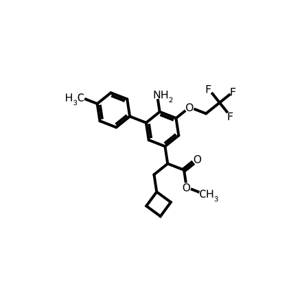 COC(=O)C(CC1CCC1)c1cc(OCC(F)(F)F)c(N)c(-c2ccc(C)cc2)c1